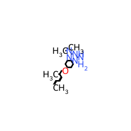 C/C=C\C=C/C(C)COC1CCC2(CC1)N=C(N)NC(N(C)C)=N2